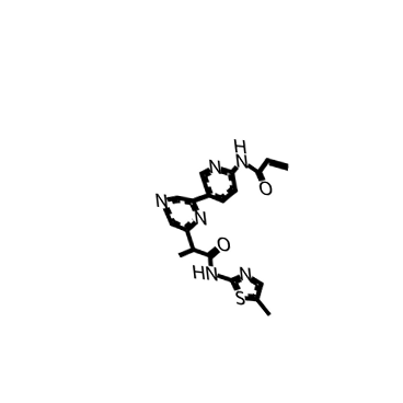 C=CC(=O)Nc1ccc(-c2cncc(C(C)C(=O)Nc3ncc(C)s3)n2)cn1